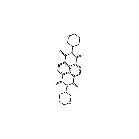 O=C1c2ccc3c4c(ccc(c24)C(=O)N1C1CCCOC1)C(=O)N(C1CCCOC1)C3=O